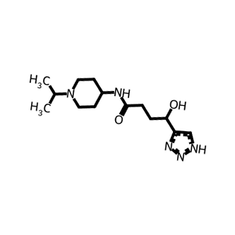 CC(C)N1CCC(NC(=O)CCC(O)c2c[nH]nn2)CC1